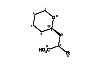 CCC(C[C@H]1CCCCO1)C(=O)O